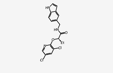 CC[C@@H](Oc1ncc(Cl)cc1Cl)C(=O)NCc1ccc2[nH]ccc2c1